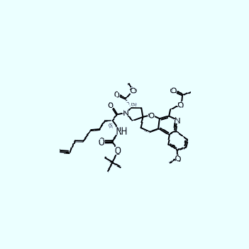 C=CCCCCC[C@H](NC(=O)OC(C)(C)C)C(=O)N1CC2(CCc3c(c(COC(C)=O)nc4ccc(OC)cc34)O2)C[C@H]1C(=O)OC